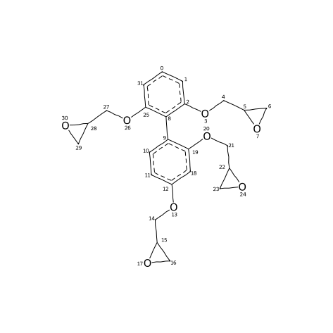 c1cc(OCC2CO2)c(-c2ccc(OCC3CO3)cc2OCC2CO2)c(OCC2CO2)c1